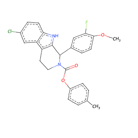 COc1ccc(C2c3[nH]c4ccc(Cl)cc4c3CCN2C(=O)Oc2ccc(C)cc2)cc1F